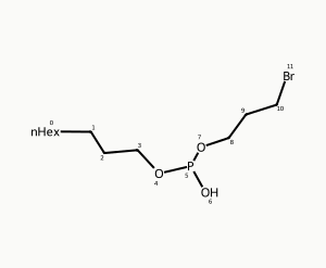 CCCCCCCCCOP(O)OCCCBr